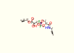 C#CCNC(=O)C1COP(F)(F)(OCC(O)C(=O)OCC#C)O1